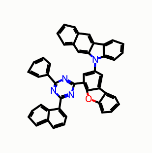 c1ccc(-c2nc(-c3cccc4ccccc34)nc(-c3cc(-n4c5ccccc5c5cc6ccccc6cc54)cc4c3oc3ccccc34)n2)cc1